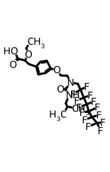 CCOC(Cc1ccc(OCCN(CC(F)(F)C(F)(F)C(F)(F)C(F)(F)C(F)(F)C(F)(F)F)C(=O)NCC(C)C)cc1)C(=O)O